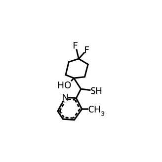 Cc1cccnc1C(S)C1(O)CCC(F)(F)CC1